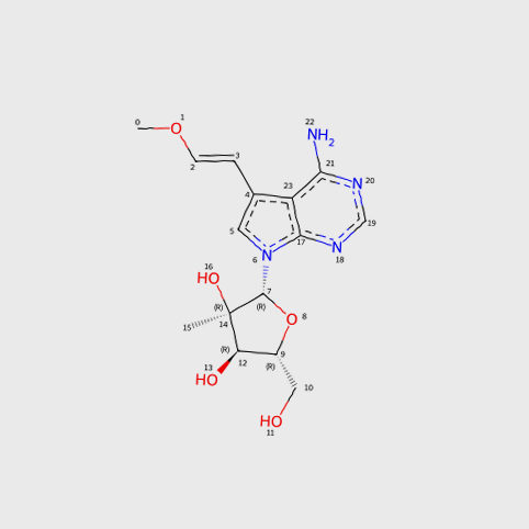 COC=Cc1cn([C@@H]2O[C@H](CO)[C@@H](O)[C@@]2(C)O)c2ncnc(N)c12